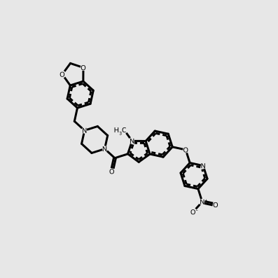 Cn1c(C(=O)N2CCN(Cc3ccc4c(c3)OCO4)CC2)cc2cc(Oc3ccc([N+](=O)[O-])cn3)ccc21